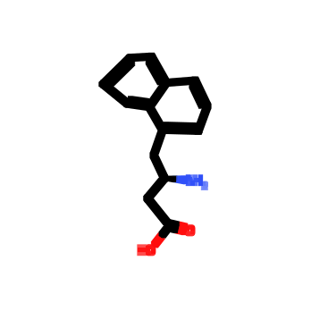 N[C@@H](CC(=O)O)Cc1cccc2ccccc12